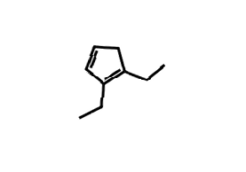 CCC1=C(CC)CC=C1